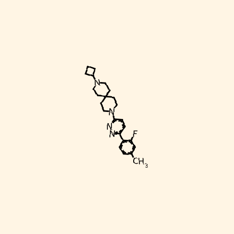 Cc1ccc(-c2ccc(N3CCC4(CC3)CCN(C3CCC3)CC4)nn2)c(F)c1